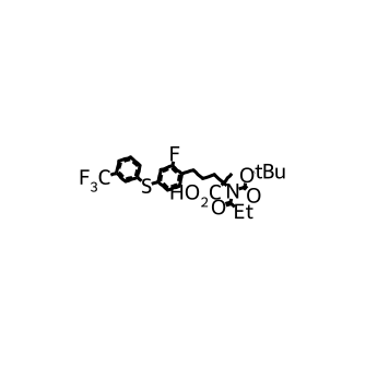 CCC(=O)N(C(=O)OC(C)(C)C)C(C)(CCCc1ccc(Sc2cccc(C(F)(F)F)c2)cc1F)C(=O)O